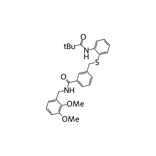 COc1cccc(CNC(=O)c2cccc(CSc3ccccc3NC(=O)C(C)(C)C)c2)c1OC